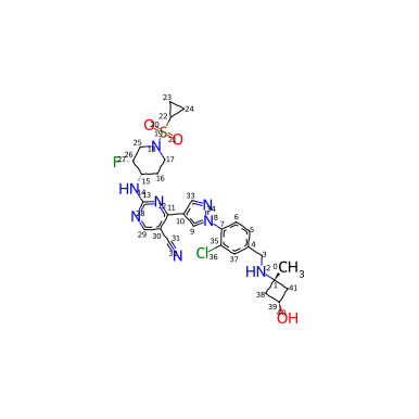 C[C@]1(NCc2ccc(-n3cc(-c4nc(N[C@H]5CCN(S(=O)(=O)C6CC6)C[C@H]5F)ncc4C#N)cn3)c(Cl)c2)C[C@H](O)C1